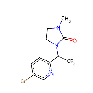 CN1CCN(C(c2ccc(Br)cn2)C(F)(F)F)C1=O